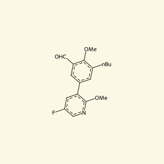 CCCCc1cc(-c2cc(F)cnc2OC)cc(C=O)c1OC